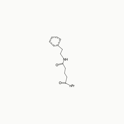 CCCC(=O)CCCC(=O)NCCc1ccccc1